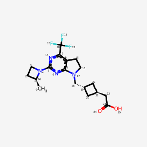 C[C@H]1CCN1c1nc2c(c(C(F)(F)F)n1)CCN2C[C@H]1C[C@H](CC(=O)O)C1